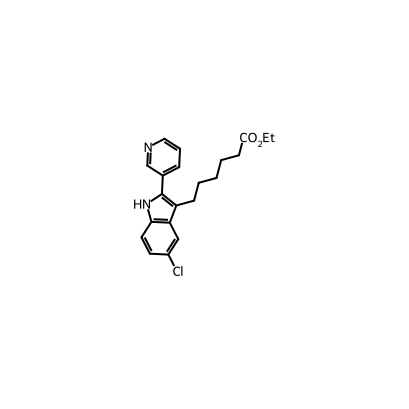 CCOC(=O)CCCCCc1c(-c2cccnc2)[nH]c2ccc(Cl)cc12